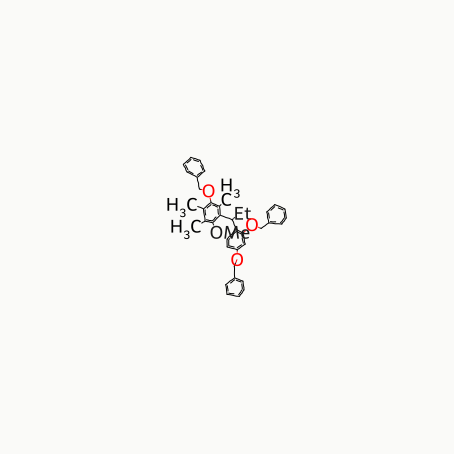 CCC(c1ccc(OCc2ccccc2)cc1OCc1ccccc1)c1c(C)c(OCc2ccccc2)c(C)c(C)c1OC